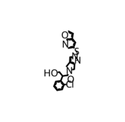 O=C(C(CO)c1ccccc1Cl)N1Cc2cn(Sc3cnc4occc4c3)nc2C1